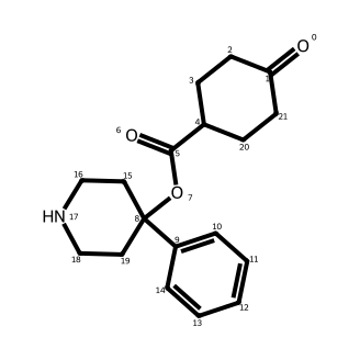 O=C1CCC(C(=O)OC2(c3ccccc3)CCNCC2)CC1